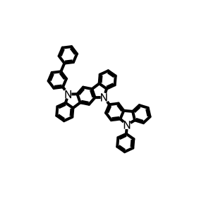 c1ccc(-c2cccc(-n3c4ccccc4c4cc5c(cc43)c3ccccc3n5-c3ccc4c(c3)c3ccccc3n4-c3ccccc3)c2)cc1